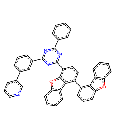 c1ccc(-c2nc(-c3cccc(-c4cccnc4)c3)nc(-c3ccc(-c4cccc5oc6ccccc6c45)c4c3oc3ccccc34)n2)cc1